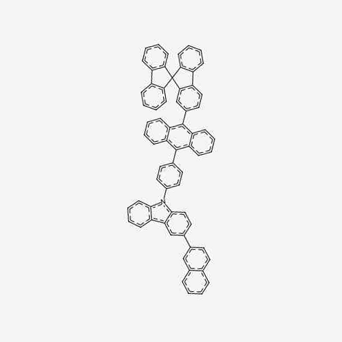 c1ccc2c(c1)-c1ccccc1C21c2ccccc2-c2ccc(-c3c4ccccc4c(-c4ccc(-n5c6ccccc6c6cc(-c7ccc8ccccc8c7)ccc65)cc4)c4ccccc34)cc21